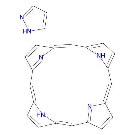 C1=Cc2cc3ccc(cc4nc(cc5ccc(cc1n2)[nH]5)C=C4)[nH]3.c1cn[nH]c1